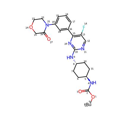 CC(C)(C)OC(=O)N[C@H]1CC[C@H](Nc2ncc(F)c(-c3cccc(N4CCOCC4=O)c3)n2)CC1